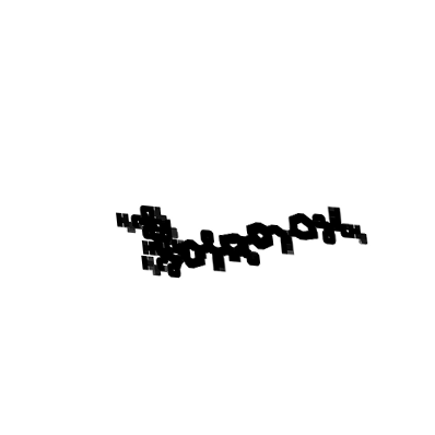 CNC(=O)O[C@H]1CC[C@H](NCc2ccc(-n3ccc(NC(=O)N4CCN(C(=O)C(C)(C)NC(=O)OC(C)(C)C)CC4)nc3=O)cc2)CC1